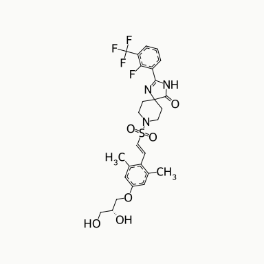 Cc1cc(OC[C@H](O)CO)cc(C)c1/C=C/S(=O)(=O)N1CCC2(CC1)N=C(c1cccc(C(F)(F)F)c1F)NC2=O